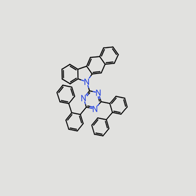 c1ccc(-c2ccccc2-c2nc(-c3ccccc3-c3ccccc3)nc(-n3c4ccccc4c4cc5ccccc5cc43)n2)cc1